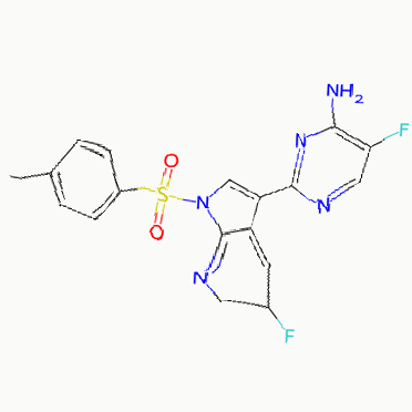 Cc1ccc(S(=O)(=O)n2cc(-c3ncc(F)c(N)n3)c3c2=NCC(F)C=3)cc1